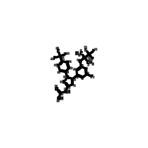 CC(C)(Oc1cc(F)cc(-c2cc(NC(=O)O)nn2-c2cnc(C(F)(F)F)nc2)c1)C(F)(F)F